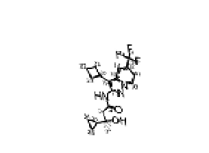 C[C@@](O)(CC(=O)Nc1nn2ccc(C(F)(F)F)cc2c1C1CCC1)C1CC1